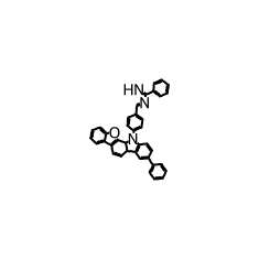 N=C(/N=C/c1ccc(N2c3ccc(-c4ccccc4)cc3C3C=Cc4c(oc5ccccc45)C32)cc1)c1ccccc1